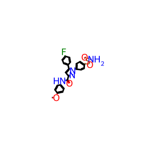 COc1ccc(NC(=O)c2cc(-c3ccc(F)cc3)n(-c3ccc(S(N)(=O)=O)cc3)n2)cc1